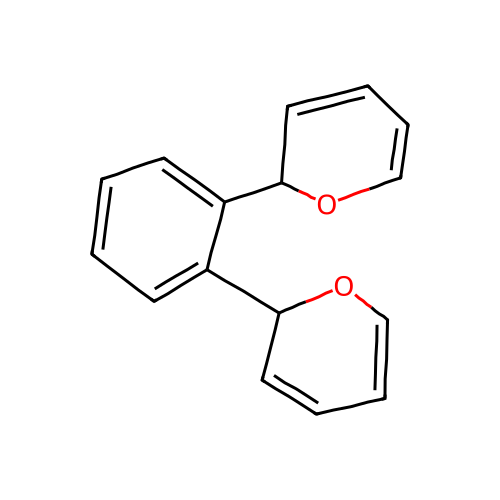 C1=COC(c2ccccc2C2C=CC=CO2)C=C1